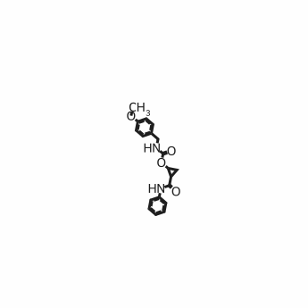 COc1ccc(CNC(=O)OC2CC2C(=O)Nc2ccccc2)cc1